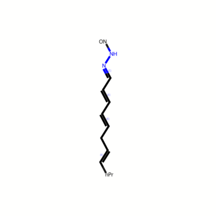 CCC/C=C/C/C=C/C=C/C=N/NN=O